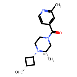 Cc1cc(C(=O)N2CCN([C@H]3C[C@@H](C=O)C3)[C@@H](C)C2)ccn1